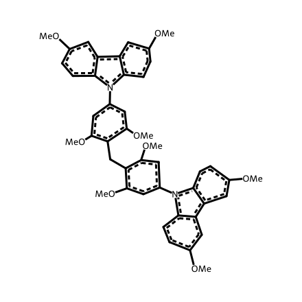 COc1ccc2c(c1)c1cc(OC)ccc1n2-c1cc(OC)c(Cc2c(OC)cc(-n3c4ccc(OC)cc4c4cc(OC)ccc43)cc2OC)c(OC)c1